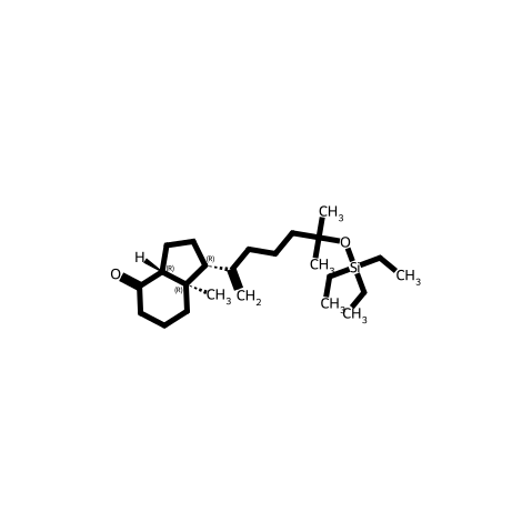 C=C(CCCC(C)(C)O[Si](CC)(CC)CC)[C@H]1CC[C@H]2C(=O)CCC[C@]12C